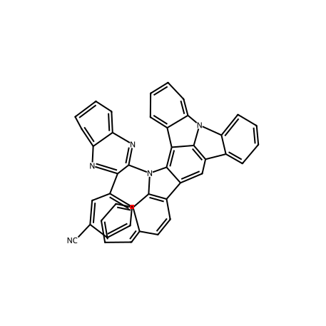 N#Cc1cccc(-c2nc3ccccc3nc2-n2c3c4ccccc4ccc3c3cc4c5ccccc5n5c6ccccc6c(c32)c45)c1